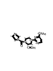 COc1ccnc(N2CCN(C(=O)n3ccnc3)CC2)n1.OCl